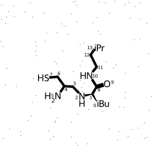 CC[C@H](C)[C@@H](NCC(N)CS)C(=O)NCCC(C)C